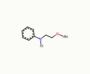 CCCCOCCN(CC)c1ccccc1